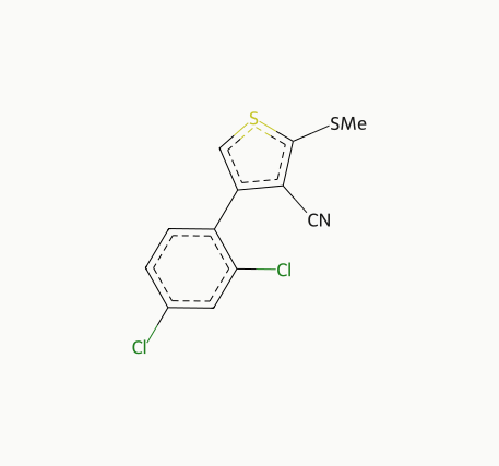 CSc1scc(-c2ccc(Cl)cc2Cl)c1C#N